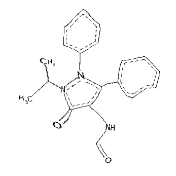 CC(C)n1c(=O)c(NC=O)c(-c2ccccc2)n1-c1ccccc1